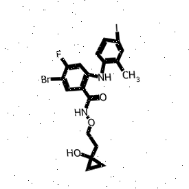 Cc1cc(I)ccc1Nc1cc(F)c(Br)cc1C(=O)NOCCC1(O)CC1